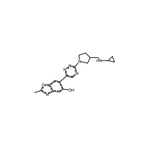 Cc1nc2cc(O)c(-c3cnc(N4CCC(CNC5CC5)C4)nn3)cc2o1